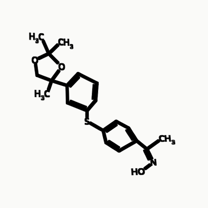 C/C(=N/O)c1ccc(Sc2cccc(C3(C)COC(C)(C)O3)c2)cc1